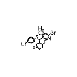 Cc1cc(Br)ncc1C(Sc1ccc(Cl)cc1)c1cc(F)ccc1F